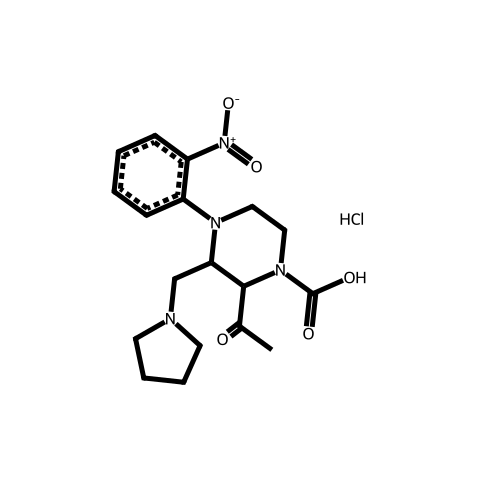 CC(=O)C1C(CN2CCCC2)N(c2ccccc2[N+](=O)[O-])CCN1C(=O)O.Cl